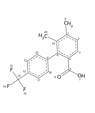 Cc1ccc(C(=O)O)c(-c2ccc(C(F)(F)F)cc2)c1C